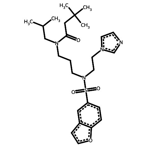 CC(C)CN(CCCN(CCn1ccnc1)S(=O)(=O)c1ccc2occc2c1)C(=O)CC(C)(C)C